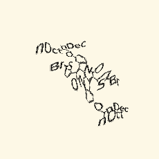 CCCCCCCCCCC(CCCCCCCC)COc1ccc2c(c1)c1c(-c3ccc(Br)s3)c(=O)n3c4ccc(OCC(CCCCCCCC)CCCCCCCCCC)cc4c4c(-c5ccc(Br)s5)c(=O)n2c1c43